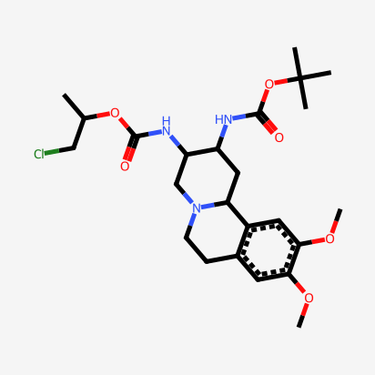 COc1cc2c(cc1OC)C1CC(NC(=O)OC(C)(C)C)C(NC(=O)OC(C)CCl)CN1CC2